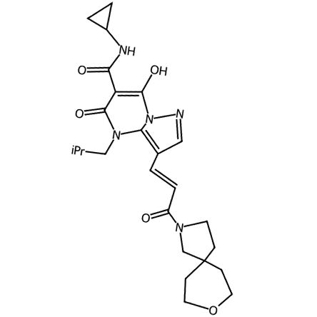 CC(C)Cn1c(=O)c(C(=O)NC2CC2)c(O)n2ncc(C=CC(=O)N3CCC4(CCOCC4)C3)c12